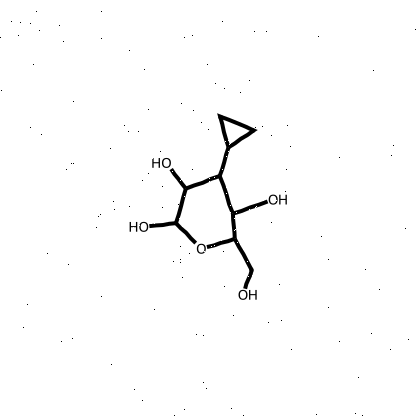 OCC1OC(O)C(O)C(C2CC2)C1O